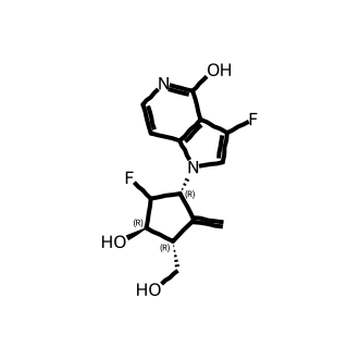 C=C1[C@@H](n2cc(F)c3c(O)nccc32)C(F)[C@H](O)[C@H]1CO